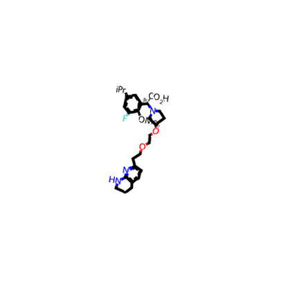 COc1c(F)cc(C(C)C)cc1[C@H](C(=O)O)N1CC[C@@H](OCCOCCc2ccc3c(n2)NCCC3)C1